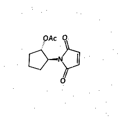 CC(=O)O[C@H]1CCC[C@@H]1N1C(=O)C=CC1=O